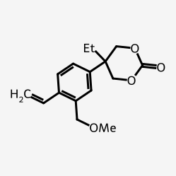 C=Cc1ccc(C2(CC)COC(=O)OC2)cc1COC